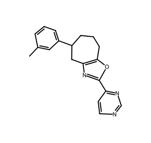 Cc1cccc(C2CCCc3oc(-c4ccncn4)nc3C2)c1